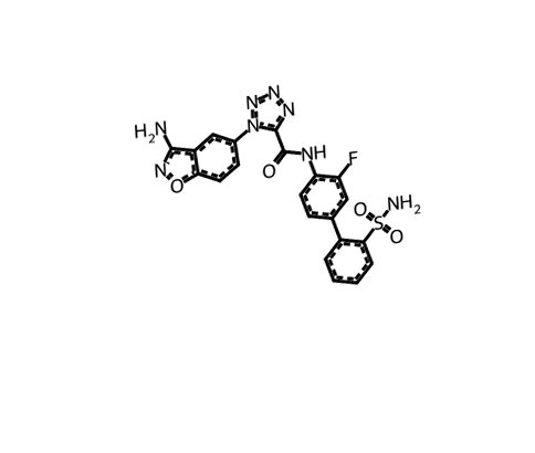 Nc1noc2ccc(-n3nnnc3C(=O)Nc3ccc(-c4ccccc4S(N)(=O)=O)cc3F)cc12